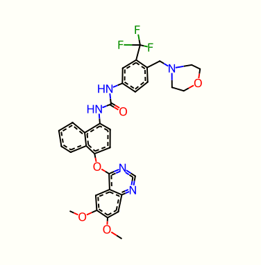 COc1cc2ncnc(Oc3ccc(NC(=O)Nc4ccc(CN5CCOCC5)c(C(F)(F)F)c4)c4ccccc34)c2cc1OC